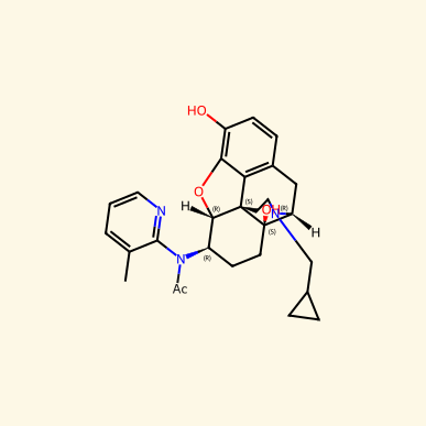 CC(=O)N(c1ncccc1C)[C@@H]1CC[C@@]2(O)[C@H]3Cc4ccc(O)c5c4[C@@]2(CCN3CC2CC2)[C@H]1O5